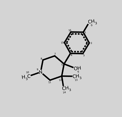 Cc1ccc(C2(O)CCN(C)CC2(C)C)cc1